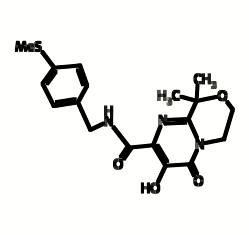 CSc1ccc(CNC(=O)c2nc3n(c(=O)c2O)CCOC3(C)C)cc1